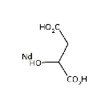 O=C(O)CC(O)C(=O)O.[Nd]